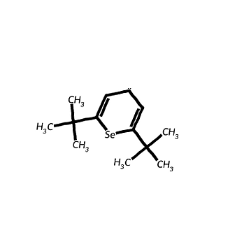 CC(C)(C)C1=C[C]C=C(C(C)(C)C)[Se]1